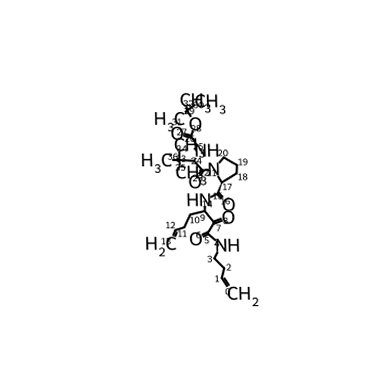 C=CCCNC(=O)C(=O)C(CCC=C)NC(=O)[C@@H]1CCCN1C(=O)[C@@H](NC(=O)OC(C)(C)C)C(C)(C)C